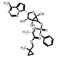 C[C@H](NP(=O)(Oc1ccccc1)OC1[C@@]2(C#N)O[C@@H](c3ccc4c(N)ncnn34)[C@H](O)[C@@]12O)C(=O)OCC1(C)CC1